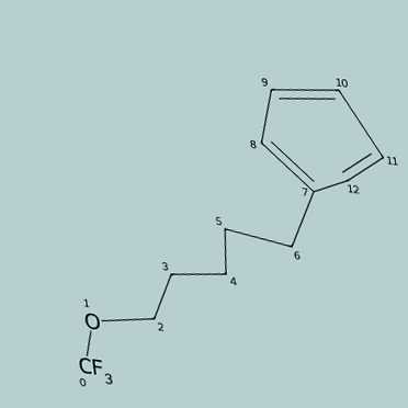 FC(F)(F)OCCCCCc1ccccc1